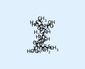 C=C(N[C@@H](CCC(=O)O)C(=O)N[C@H](CC(C)C)C(=O)O)[C@@H](CS)NC(=O)CNC(=O)[C@@H](CC(=O)O)NC(=O)[C@@H](N)CCSC